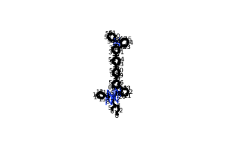 C=C/C=C\C(=C/C)c1nc(-c2ccccc2)nc(-n2c3ccccc3c3cc(-c4ccc(-c5ccc(-c6ccc7c(c6)c6ccccc6n7-c6ccccc6)cc5)cc4)ccc32)n1